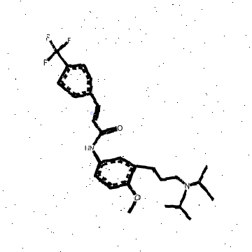 COc1ccc(NC(=O)/C=C/c2ccc(C(F)(F)F)cc2)cc1CCCN(C(C)C)C(C)C